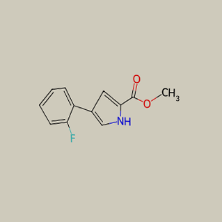 COC(=O)c1cc(-c2ccccc2F)c[nH]1